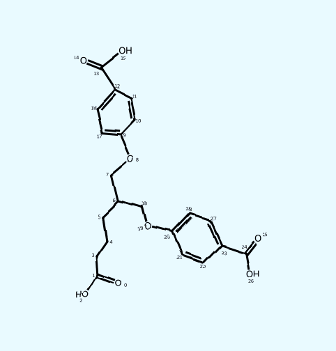 O=C(O)CCCC(COc1ccc(C(=O)O)cc1)COc1ccc(C(=O)O)cc1